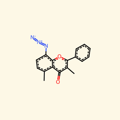 Cc1c(-c2ccccc2)oc2c(N=[N+]=[N-])ccc(C)c2c1=O